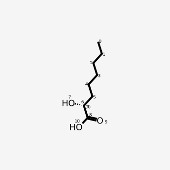 CCCCCC[C@@H](O)C(=O)O